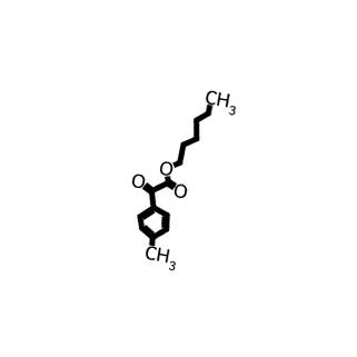 CCCCCCOC(=O)C(=O)c1ccc(C)cc1